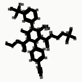 CCOC(=O)C1=C(C)N(c2cccc(C(F)(F)F)c2)C(N)=C(C(=O)OCC[Si](C)(C)C)C1c1ccc(C#N)cc1